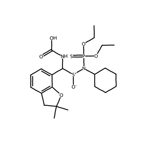 CCOP(=S)(OCC)N(C1CCCCC1)[S+]([O-])C(NC(=O)O)c1cccc2c1OC(C)(C)C2